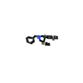 CCOC(=O)[C@@H]1CN(Cc2ccccc2)C[C@H]1C(C)=O